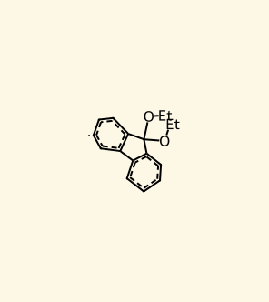 CCOC1(OCC)c2cc[c]cc2-c2ccccc21